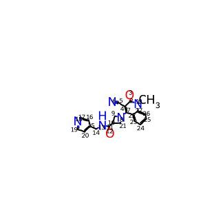 Cn1c(=O)c(C#N)c(N2CC(C(=O)NCc3ccncc3)C2)c2ccccc21